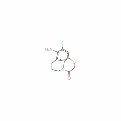 Nc1c(F)cc2c3c1CCCN3C(=O)CO2